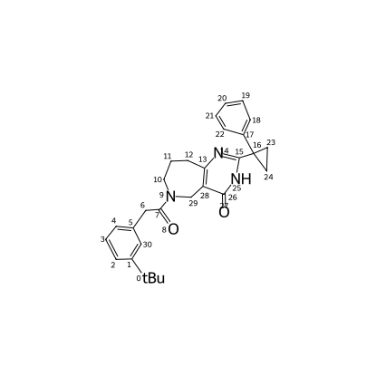 CC(C)(C)c1cccc(CC(=O)N2CCCc3nc(C4(c5ccccc5)CC4)[nH]c(=O)c3C2)c1